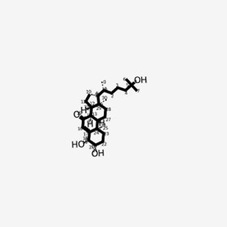 C[C@H](CCCC(C)(C)O)[C@H]1CC[C@H]2[C@@H]3C(=O)C=C4[C@@H](O)[C@@H](O)CC[C@]4(C)[C@H]3CC[C@]12C